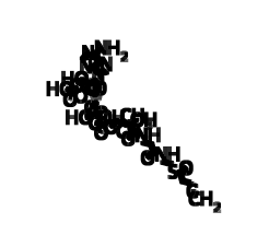 C=C=CCC(=O)SCCNC(=O)CCNC(=O)[C@H](O)C(C)(C)COP(=O)(O)OP(=O)(O)OC[C@H]1O[C@@H](n2cnc3c(N)ncnc32)[C@H](O)[C@@H]1OP(=O)(O)O